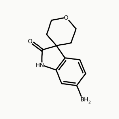 Bc1ccc2c(c1)NC(=O)C21CCOCC1